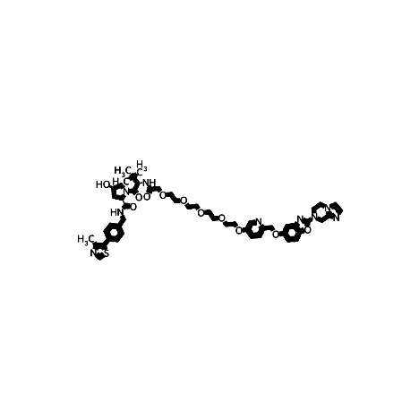 Cc1ncsc1-c1ccc(CNC(=O)[C@@H]2C[C@@H](O)CN2C(=O)[C@@H](NC(=O)COCCOCCOCCOCCOc2ccc(COc3ccc4oc(N5CCn6ccnc6C5)nc4c3)nc2)C(C)(C)C)cc1